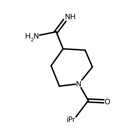 CC(C)C(=O)N1CCC(C(=N)N)CC1